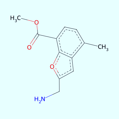 COC(=O)c1ccc(C)c2cc(CN)oc12